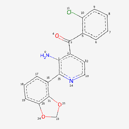 Nc1c(C(=O)c2ccccc2Cl)ccnc1-c1cccc2c1OCO2